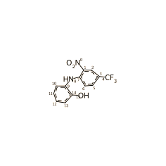 O=[N+]([O-])c1cc(C(F)(F)F)ccc1Nc1ccccc1O